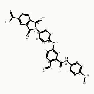 C=C(O)c1ccc2c(c1)C(=O)N(c1ccc(Oc3ccc(C=O)c(C(=O)Nc4ccc(OC)cc4)c3)cc1)C2=O